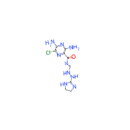 Nc1nc(N)c(C(=O)N=CNNC2=NCCN2)nc1Cl